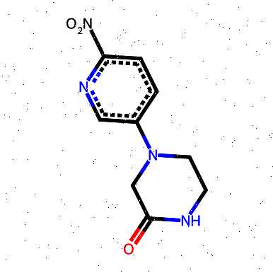 O=C1CN(c2ccc([N+](=O)[O-])nc2)CCN1